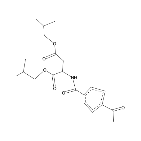 CC(=O)c1ccc(C(=O)NC(CC(=O)OCC(C)C)C(=O)OCC(C)C)cc1